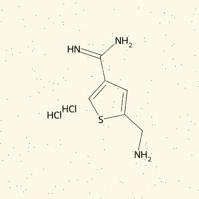 Cl.Cl.N=C(N)c1csc(CN)c1